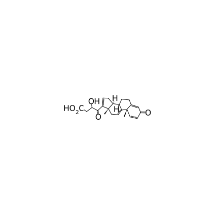 C[C@]12C=CC(=O)C=C1CC[C@@H]1C2=CC[C@]2(C)C(C(=O)C(O)CC(=O)O)=CC[C@@H]12